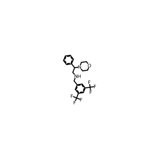 FC(F)(F)c1cc(CNCC(c2ccccc2)N2CCOCC2)cc(C(F)(F)F)c1